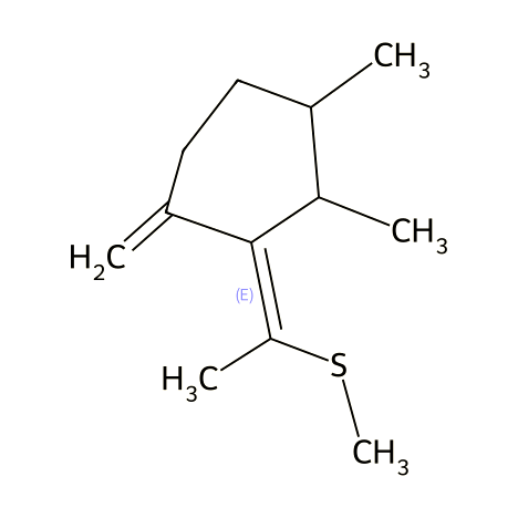 C=C1CCC(C)C(C)/C1=C(/C)SC